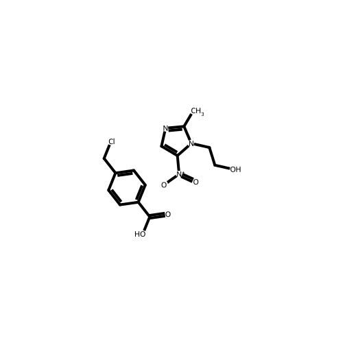 Cc1ncc([N+](=O)[O-])n1CCO.O=C(O)c1ccc(CCl)cc1